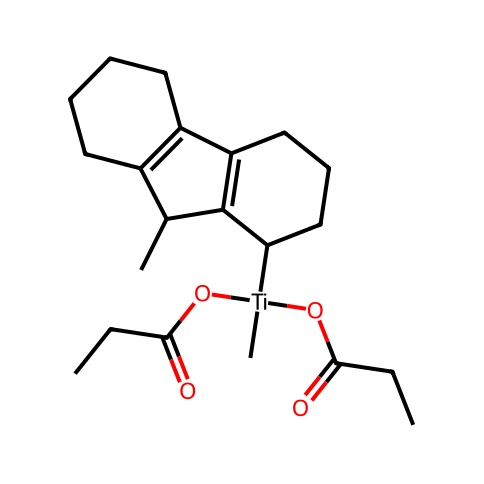 CCC(=O)[O][Ti]([CH3])([O]C(=O)CC)[CH]1CCCC2=C1C(C)C1=C2CCCC1